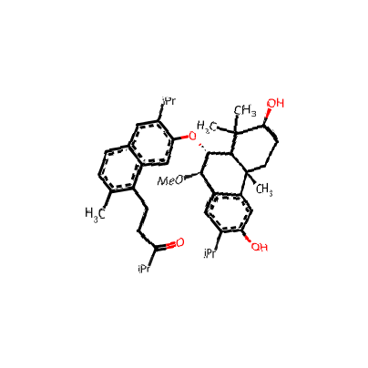 CO[C@@H]1c2cc(C(C)C)c(O)cc2[C@@]2(C)CC[C@H](O)C(C)(C)C2[C@H]1Oc1cc2c(CCC(=O)C(C)C)c(C)ccc2cc1C(C)C